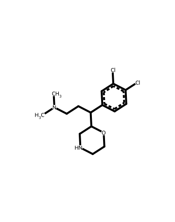 CN(C)CCC(c1ccc(Cl)c(Cl)c1)C1CNCCO1